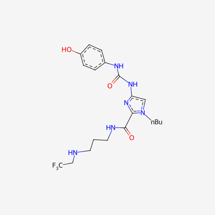 CCCCn1cc(NC(=O)Nc2ccc(O)cc2)nc1C(=O)NCCCNCC(F)(F)F